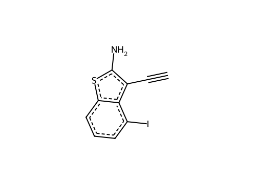 C#Cc1c(N)sc2cccc(I)c12